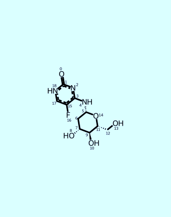 O=c1nc(N[C@H]2C[C@@H](O)[C@H](O)[C@@H](CO)O2)c(F)c[nH]1